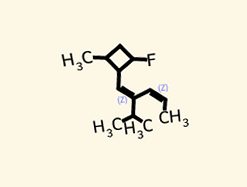 C/C=C\C(=C/C1C(C)CC1F)C(C)C